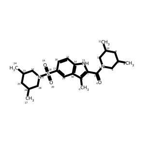 Cc1c(C(=O)N2CC(C)CC(C)C2)[nH]c2ccc(S(=O)(=O)N3CC(C)CC(C)C3)cc12